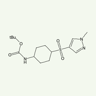 Cn1cc(S(=O)(=O)C2CCC(NC(=O)OC(C)(C)C)CC2)cn1